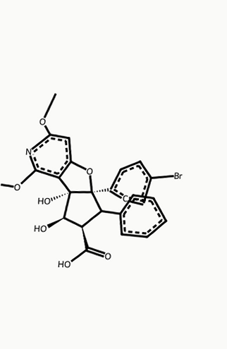 COc1cc2c(c(OC)n1)[C@]1(O)[C@H](O)[C@H](C(=O)O)C(c3ccccc3)[C@]1(c1ccc(Br)cc1)O2